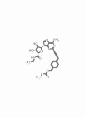 CCNC(=O)[C@H]1O[C@@H](n2cnc3c(N)nc(C#CCC4CCC(COC(=O)OC)CC4)nc32)C(O)[C@H]1O